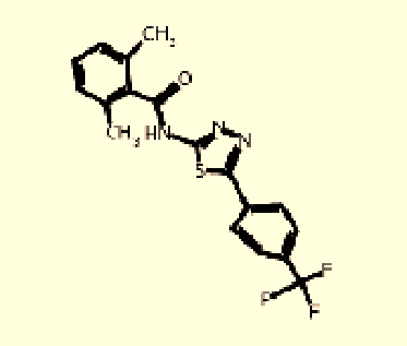 Cc1cccc(C)c1C(=O)Nc1nnc(-c2ccc(C(F)(F)F)cc2)s1